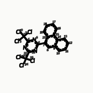 ClC(Cl)(Cl)c1nc(-c2cc3ccccc3c3ccccc23)nc(C(Cl)(Cl)Cl)n1